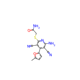 Cc1ccc(-c2c(C#N)c(N)nc(SCC(N)=O)c2C#N)o1